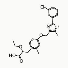 CCOC(Cc1ccc(OCc2nc(-c3cccc(Cl)c3)oc2C)cc1C)C(=O)O